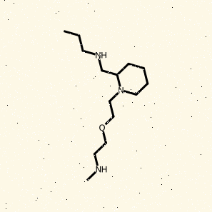 CCCNCC1CCCCN1CCOCCNC